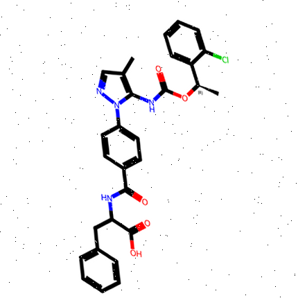 Cc1cnn(-c2ccc(C(=O)NC(Cc3ccccc3)C(=O)O)cc2)c1NC(=O)O[C@H](C)c1ccccc1Cl